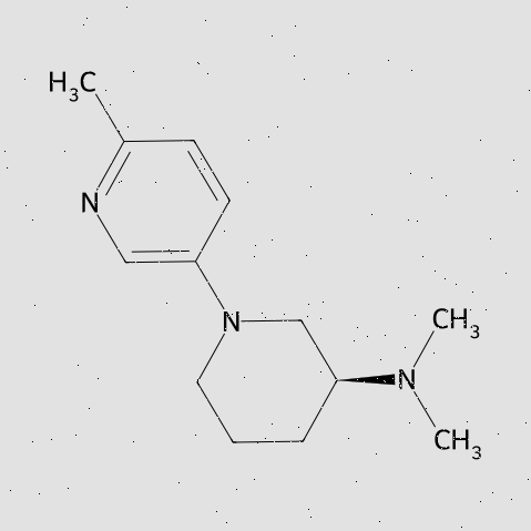 Cc1ccc(N2CCC[C@H](N(C)C)C2)cn1